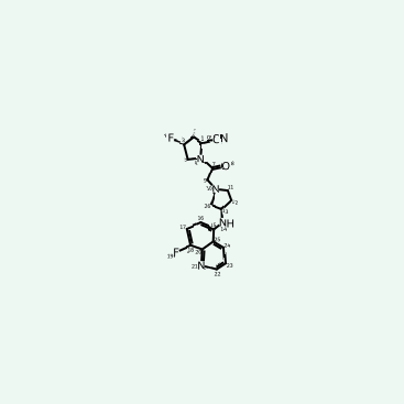 N#CC1C[C@H](F)CN1C(=O)CN1CC[C@@H](Nc2ccc(F)c3ncccc23)C1